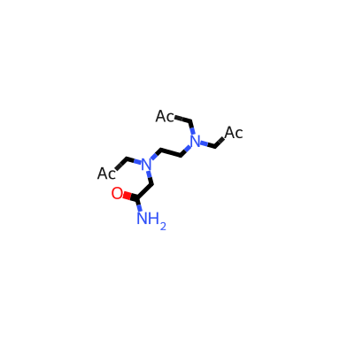 CC(=O)CN(CCN(CC(C)=O)CC(N)=O)CC(C)=O